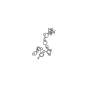 CC(C)N(C(=O)c1cc(F)ccc1Oc1cncnc1N1CC2(CCN(C[C@@H]3CC[C@@H](NS(=O)(=O)N(C)C)CO3)CC2)C1)[C@@H]1CCOC1